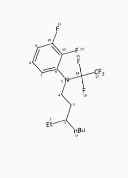 CCCCC(CC)CCN(c1cccc(F)c1F)C(F)(F)C(F)(F)F